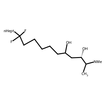 CCCCCCCC(F)(F)CCCCCC(O)C[C@H](O)C(C)NC